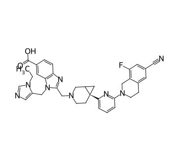 CCn1cncc1Cn1c(CN2CC[C@@]3(c4cccc(N5CCc6cc(C#N)cc(F)c6C5)n4)CC3C2)nc2ccc(C(=O)O)cc21